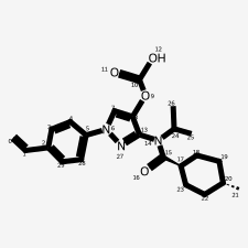 C=Cc1ccc(-n2cc(OC(=O)O)c(N(C(=O)[C@H]3CC[C@H](C)CC3)C(C)C)n2)cc1